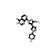 Nc1nn(-c2nccc3c(=O)[nH]cnc23)cc1-c1cnn(C2CCNCC2)c1